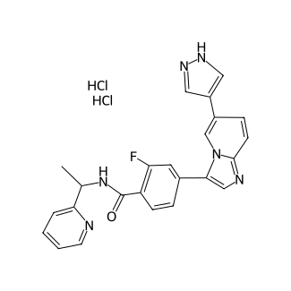 CC(NC(=O)c1ccc(-c2cnc3ccc(-c4cn[nH]c4)cn23)cc1F)c1ccccn1.Cl.Cl